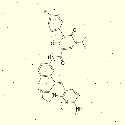 CNc1ncc2c(n1)N1CCN=C1C(c1cc(NC(=O)c3cn(C(C)C)c(=O)n(-c4ccc(F)cc4)c3=O)ccc1C)=C2